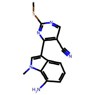 CSc1ncc(C#N)c(-c2cn(C)c3c(N)cccc23)n1